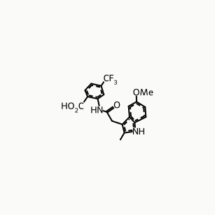 COc1ccc2[nH]c(C)c(CC(=O)Nc3cc(C(F)(F)F)ccc3C(=O)O)c2c1